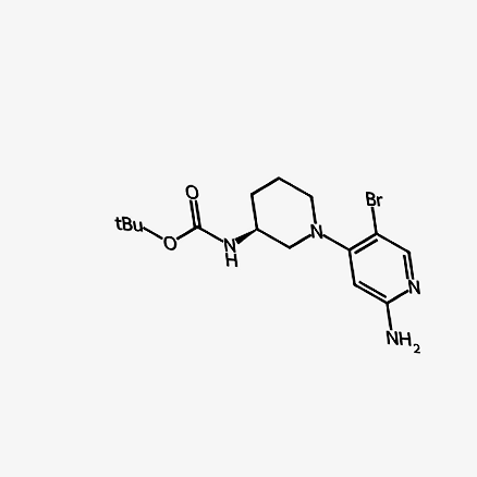 CC(C)(C)OC(=O)N[C@H]1CCCN(c2cc(N)ncc2Br)C1